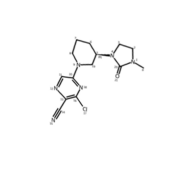 CN1CCN([C@@H]2CCCN(c3cnc(C#N)c(Cl)n3)C2)C1=O